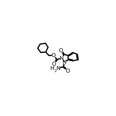 NC(=O)n1c2ccccc2c(=O)n1C(=O)OCC1CCCCC1